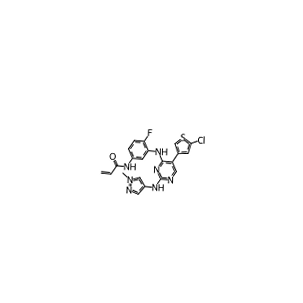 C=CC(=O)Nc1ccc(F)c(Nc2nc(Nc3cnn(C)c3)ncc2-c2csc(Cl)c2)c1